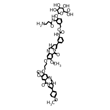 COc1ccc(C2=CN3C(=O)c4cc(OC)c(OCCCOc5cc6c(cc5OC)C(=O)N5C=C(c7cccc(NC(=O)OCc8ccc(O[C@@H]9OC(C(=O)O)[C@@H](O)C(O)C9O)c(NC(=O)CCN)c8)c7)C[C@H]5C=N6)cc4N=C[C@@H]3C2)cc1